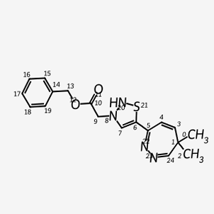 CC1(C)C=CC(C2=CN(CC(=O)OCc3ccccc3)NS2)=NN=C1